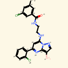 Bc1cnn2c(NCCNC(=O)c3cc(C)cc(Cl)c3)cc(-c3ccccc3Cl)nc12